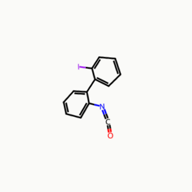 O=C=Nc1ccccc1-c1ccccc1I